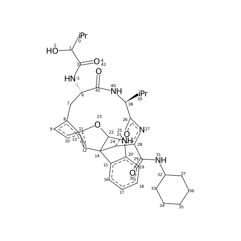 CC(C)C(O)C(=O)N[C@H]1Cc2ccc3c(c2)C2(c4ccccc4NC2O3)c2oc(nc2C(=O)NC2CCCCC2)[C@H](C(C)C)NC1=O